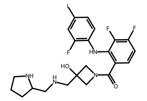 O=C(c1ccc(F)c(F)c1Nc1ccc(I)cc1F)N1CC(O)(CNCC2CCCN2)C1